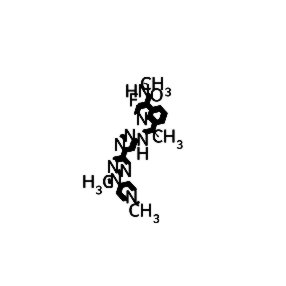 CCN1CCC(N(C)c2ncc(-c3cc(NC[C@@H](C)c4cccc5c(C(=O)NC)c(F)cnc45)ncn3)cn2)CC1